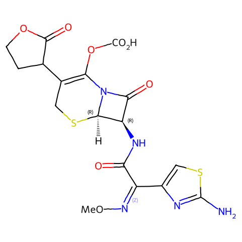 CO/N=C(\C(=O)N[C@@H]1C(=O)N2C(OC(=O)O)=C(C3CCOC3=O)CS[C@H]12)c1csc(N)n1